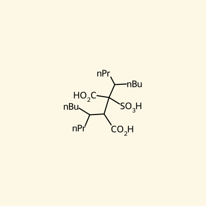 CCCCC(CCC)C(C(=O)O)C(C(=O)O)(C(CCC)CCCC)S(=O)(=O)O